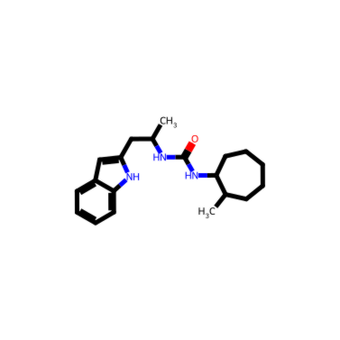 CC(Cc1cc2ccccc2[nH]1)NC(=O)NC1CCCCCC1C